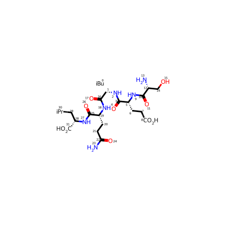 CC[C@H](C)[C@H](NC(=O)[C@@H](CCC(=O)O)NC(=O)[C@H](N)CO)C(=O)N[C@H](CCC(N)=O)C(=O)N[C@@H](CC(C)C)C(=O)O